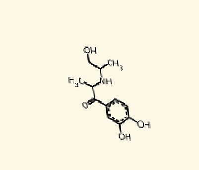 CC(CO)NC(C)C(=O)c1ccc(O)c(O)c1